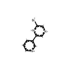 Brc1cncc(-c2cccnc2)n1